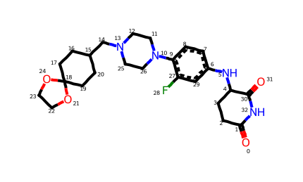 O=C1CCC(Nc2ccc(N3CCN(CC4CCC5(CC4)OCCO5)CC3)c(F)c2)C(=O)N1